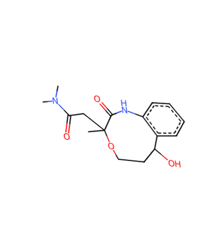 CN(C)C(=O)CC1(C)OCCC(O)c2ccccc2NC1=O